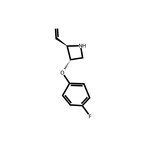 C=C[C@H]1NC[C@@H]1Oc1ccc(F)cc1